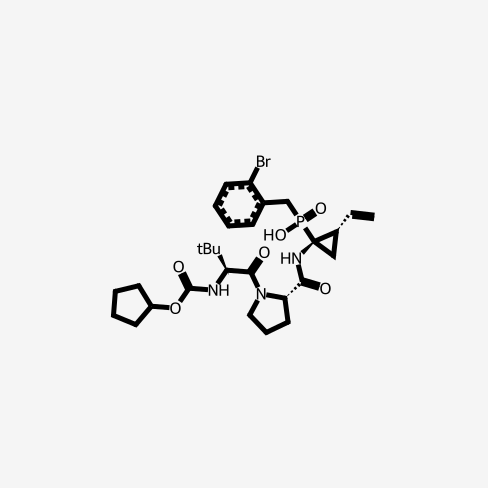 C=C[C@@H]1C[C@]1(NC(=O)[C@@H]1CCCN1C(=O)[C@@H](NC(=O)OC1CCCC1)C(C)(C)C)P(=O)(O)Cc1ccccc1Br